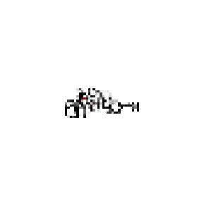 COC(=O)C12CC3CC(C1)C(NC(=O)[C@H]1CN(Cc4ccc(C#N)cc4Cl)CCO1)C(C3)C2